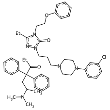 CCC(=O)C(CC(C)N(C)C)(c1ccccc1)c1ccccc1.CCc1nn(CCCN2CCN(c3cccc(Cl)c3)CC2)c(=O)n1CCOc1ccccc1